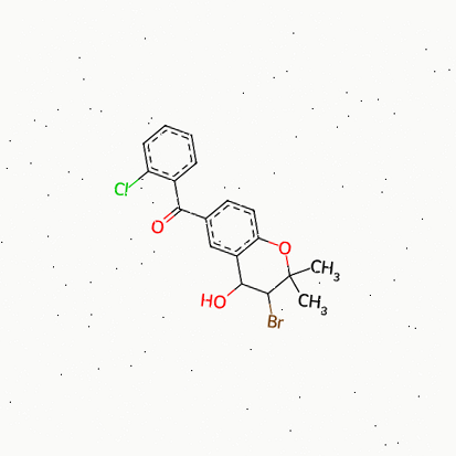 CC1(C)Oc2ccc(C(=O)c3ccccc3Cl)cc2C(O)C1Br